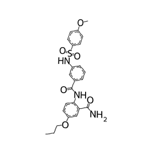 CCCOc1ccc(NC(=O)c2cccc(NS(=O)(=O)c3ccc(OC)cc3)c2)c(C(N)=O)c1